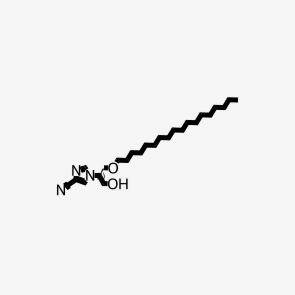 CCCCCCCCCCCCCCCCCCOC[C@H](CO)n1cnc(C#N)c1